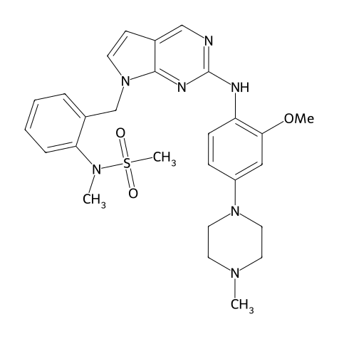 COc1cc(N2CCN(C)CC2)ccc1Nc1ncc2ccn(Cc3ccccc3N(C)S(C)(=O)=O)c2n1